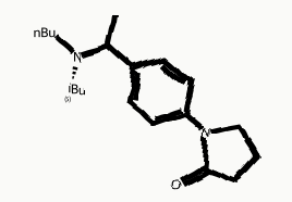 CCCCN(C(C)c1ccc(N2CCCC2=O)cc1)[C@@H](C)CC